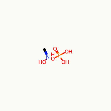 C=NO.O=P(O)(O)O